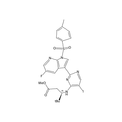 COC(=O)C[C@@H](Nc1nc(-c2cn(S(=O)(=O)c3ccc(C)cc3)c3ncc(F)cc23)ncc1I)C(C)(C)C